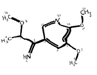 COc1cc(C(=N)C(C)OC)cnc1OC